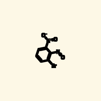 O=Nc1c(Br)cccc1[N+](=O)[O-]